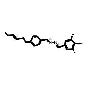 CC/C=C/CCc1ccc(/C=N/N=C/c2cc(F)c(F)c(F)c2)cc1